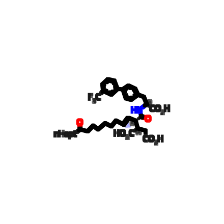 CCCCCCCC(=O)CCCCCC/C=C/[C@H](C(=O)N[C@@H](Cc1ccc(-c2cccc(C(F)(F)F)c2)cc1)C(=O)O)[C@@H](CC(=O)O)C(=O)O